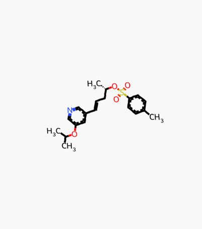 Cc1ccc(S(=O)(=O)O[C@@H](C)C/C=C/c2cncc(OC(C)C)c2)cc1